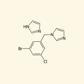 Clc1cc(Br)cc(Cn2ccnc2)c1.c1c[nH]cn1